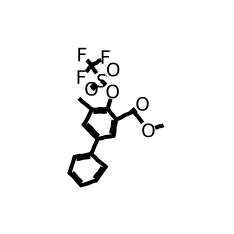 COC(=O)c1cc(-c2ccccc2)cc(C)c1OS(=O)(=O)C(F)(F)F